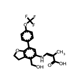 CC(=CNc1cc(-c2ccc(OC(F)(F)F)cc2)c2c(c1CO)CCO2)C(=O)O